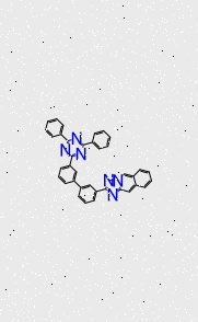 c1ccc(-c2nc(-c3ccccc3)nc(-c3cccc(-c4cccc(-c5nc6cc7ccccc7cn6n5)c4)c3)n2)cc1